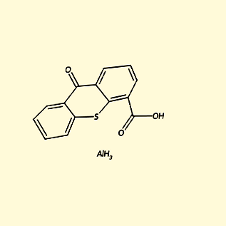 O=C(O)c1cccc2c(=O)c3ccccc3sc12.[AlH3]